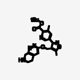 Cc1cc(-c2noc(C)c2COc2cc3c(nn2)CNCC3)cnc1C(=O)OC(C)(C)C